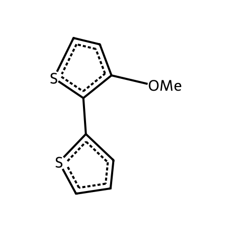 COc1ccsc1-c1cccs1